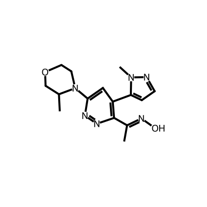 CC(=NO)c1nnc(N2CCOCC2C)cc1-c1ccnn1C